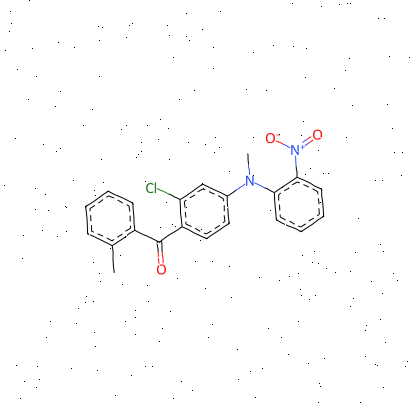 Cc1ccccc1C(=O)c1ccc(N(C)c2ccccc2[N+](=O)[O-])cc1Cl